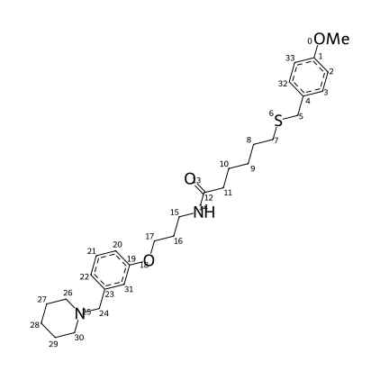 COc1ccc(CSCCCCCC(=O)NCCCOc2cccc(CN3CCCCC3)c2)cc1